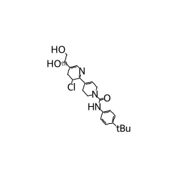 CC(C)(C)c1ccc(NC(=O)N2CC=C(C3=NC=C([C@H](O)CO)CC3Cl)CC2)cc1